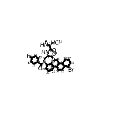 CN[C@@H](C)C(=O)N[C@H]1CN(C(=O)c2ccc(F)cc2)c2ccccc2N(Cc2c(OC)ccc3c(Br)cccc23)C1=O.Cl